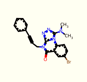 CN(C)c1nnc2n(CC#Cc3ccccc3)c(=O)c3cc(Br)ccc3n12